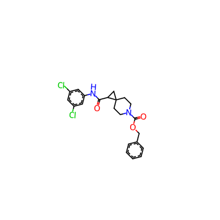 O=C(Nc1cc(Cl)cc(Cl)c1)C1CC12CCN(C(=O)OCc1ccccc1)CC2